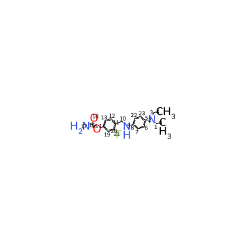 CCN(CC)c1ccc(NCc2ccc(OC(N)=O)cc2F)cc1